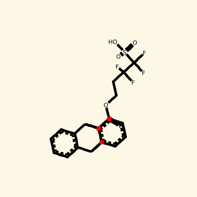 O=C(OCCC(F)(F)C(F)(F)S(=O)(=O)O)C1CC2c3ccccc3C1c1ccccc12